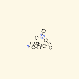 CC1(C)c2cc(C#N)ccc2-c2ccc(-c3ccc(-c4c(-c5ccc(-c6nc(-c7ccccc7)nc(-c7ccccc7)n6)cc5)ccc5ccccc45)cc3)cc21